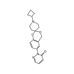 O=c1cccnn1-c1ccc2c(c1)COC1(CCN(C3CCC3)CC1)O2